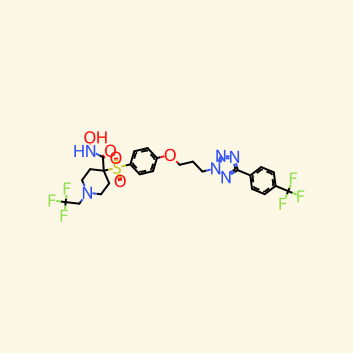 O=C(NO)C1(S(=O)(=O)c2ccc(OCCCn3nnc(-c4ccc(C(F)(F)F)cc4)n3)cc2)CCN(CC(F)(F)F)CC1